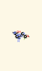 COc1cc(F)cc(-c2nccc3[nH]c(-c4n[nH]c5ccc(-c6cn(C)nc6CO)nc45)nc23)c1